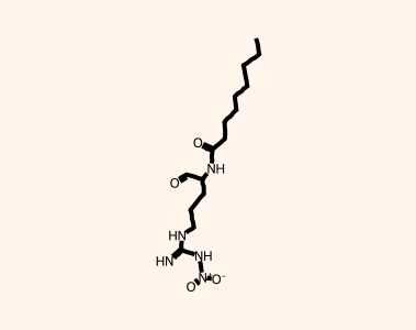 CCCCCCCCC(=O)NC(C=O)CCCNC(=N)N[N+](=O)[O-]